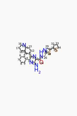 Nc1nc(-c2ccccc2)c(-c2ccc3ncccc3c2)nc1C(=O)NCc1ncc(-c2cccs2)s1